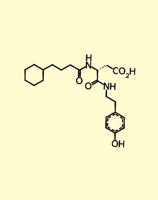 O=C(O)C[C@@H](NC(=O)CCCC1CCCCC1)C(=O)NCCc1ccc(O)cc1